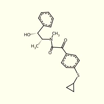 C[C@H]([C@H](O)c1ccccc1)N(C)C(=O)C(=O)c1ccc(SC2CC2)cc1